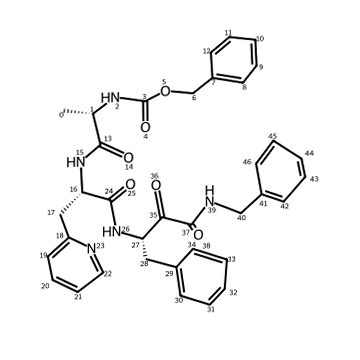 C[C@H](NC(=O)OCc1ccccc1)C(=O)N[C@@H](Cc1ccccn1)C(=O)N[C@@H](Cc1ccccc1)C(=O)C(=O)NCc1ccccc1